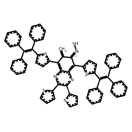 C=C1C(c2ccc(C(=C(c3ccccc3)c3ccccc3)c3ccccc3)s2)=c2nc(-c3cccs3)c(-c3cccs3)nc2=C(c2ccc(C(=C(c3ccccc3)c3ccccc3)c3ccccc3)s2)/C1=N/S